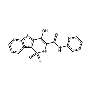 O=C(Nc1ccccn1)C1=C(O)c2sc3ccccc3c2S(=O)(=O)N1